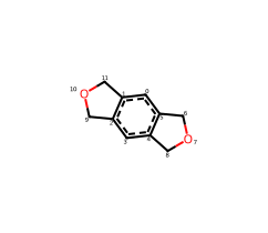 c1c2c(cc3c1COC3)COC2